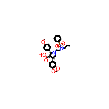 CCCN(CCN1C[C@H](c2ccc3c(c2)OCO3)[C@H](C(=O)O)[C@H]1c1ccc(OC)cc1)S(=O)(=O)c1ccccc1